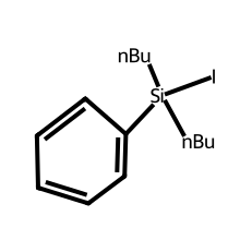 CCCC[Si](I)(CCCC)c1ccccc1